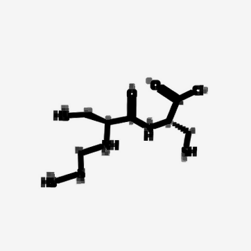 O=C(Cl)[C@H](CS)NC(=O)[C@H](CS)NCSS